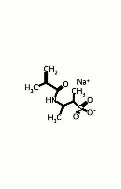 C=C(C)C(=O)NC(C)C(C)S(=O)(=O)[O-].[Na+]